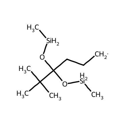 [CH2]CCC(O[SiH2]C)(O[SiH2]C)C(C)(C)C